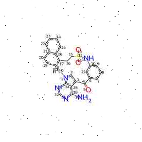 CC(C)n1cc(C(=O)c2cccc(NS(=O)(=O)CCc3cccc4ccccc34)c2)c2c(N)ncnc21